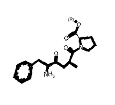 CC(C)OC(=O)[C@@H]1CCCN1C(=O)C(C)CC(=O)C(N)Cc1ccccc1